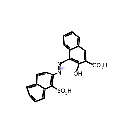 O=C(O)c1cc2ccccc2c(/N=N/c2ccc3ccccc3c2S(=O)(=O)O)c1O